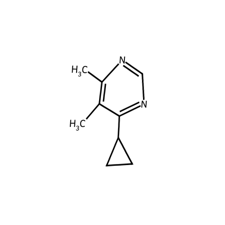 Cc1ncnc(C2CC2)c1C